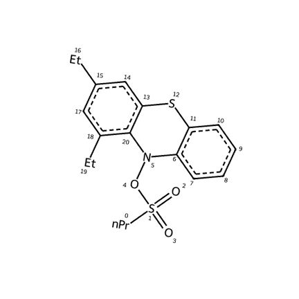 CCCS(=O)(=O)ON1c2ccccc2Sc2cc(CC)cc(CC)c21